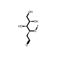 O=CC[C@H](OF)[C@@H](O)[C@H](O)CO